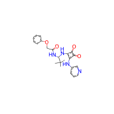 CC(C)(C)C(NC(=O)COc1ccccc1)Nc1c(Nc2cccnc2)c(=O)c1=O